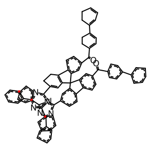 O=C(C1=CC=C(C2=CC=CCC2)CC1)c1ccc2c(c1)C1(C3=C2CCC(c2nc(-c4ccccc4)nc(-c4ccccc4)n2)=C3)c2cc(C(=O)c3ccc(-c4ccccc4)cc3)ccc2-c2ccc(-c3nc(-c4ccccc4)nc(-c4ccccc4)n3)cc21